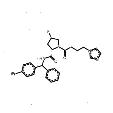 CC(C)c1ccc([C@@H](NC(=O)[C@@H]2C[C@@H](F)CN2C(=O)CCCn2ccnc2)c2ccccc2)cc1